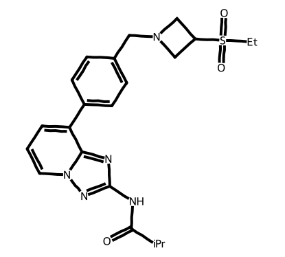 CCS(=O)(=O)C1CN(Cc2ccc(-c3cccn4nc(NC(=O)C(C)C)nc34)cc2)C1